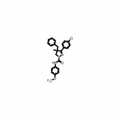 CC1(Cc2ccccc2)CN(C(=O)Nc2ccc(OC(F)(F)F)cc2)N=C1c1ccc(Cl)cc1